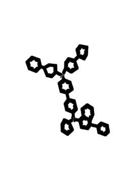 C1=CC(c2ccccc2)CC=C1N(c1ccc(-c2ccccc2)cc1)c1ccc(-c2ccc(N(c3ccccc3)c3ccc(-c4ccccc4)c4ccccc34)cc2)cc1